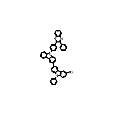 CC(C)(C)c1ccc2c(c1)c1cc(-c3ccc4c(c3)c3ccccc3n4-c3ccc(-c4nc5ccccc5nc4-c4ccccc4)cc3)ccc1n2-c1ccccc1